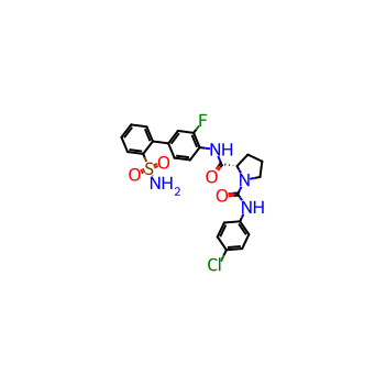 NS(=O)(=O)c1ccccc1-c1ccc(NC(=O)[C@@H]2CCCN2C(=O)Nc2ccc(Cl)cc2)c(F)c1